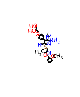 [C-]#[N+]c1c(N)nc(SCc2nc(-c3ccccc3OC)oc2C)c(C#N)c1-c1ccc(OC[C@H](O)CO)cc1